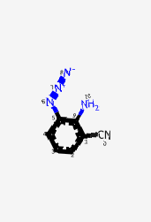 N#Cc1cccc(N=[N+]=[N-])c1N